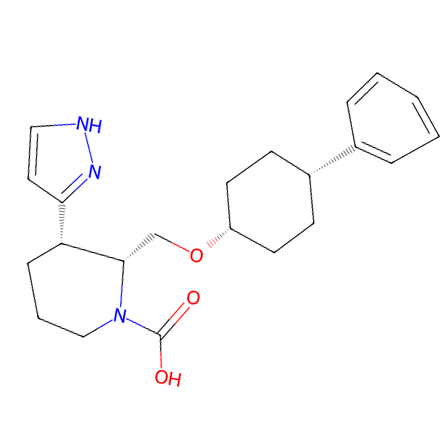 O=C(O)N1CCC[C@H](c2cc[nH]n2)[C@@H]1CO[C@H]1CC[C@@H](c2ccccc2)CC1